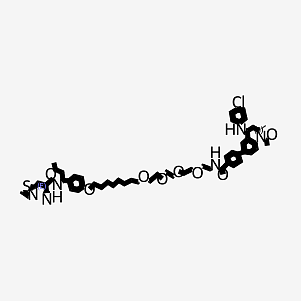 CCCC(NC(=O)/C(C#N)=C/c1nccs1)c1ccc(OCCCCCCCCOCCOCCOCCOCCNC(=O)c2ccc(-c3ccc4c(c3)C(Nc3ccc(Cl)cc3)C[C@H](C)N4C(C)=O)cc2)cc1